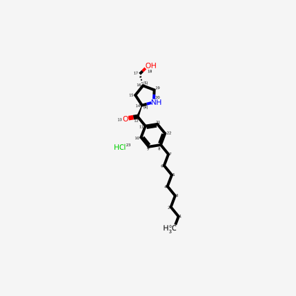 CCCCCCCCc1ccc(C(=O)[C@H]2C[C@H](CO)CN2)cc1.Cl